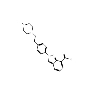 CN1CCN(CCc2ccc(-n3cc4cccc(C(N)=O)c4n3)cc2)CC1